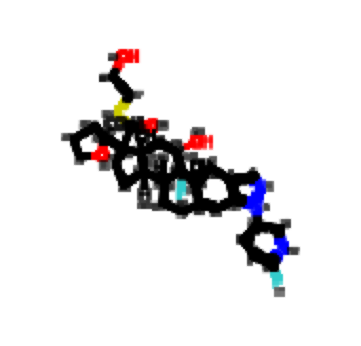 C[C@]12Cc3cnn(-c4ccc(F)nc4)c3C=C1CC[C@H]1[C@@H]3CC[C@](C(=O)SCCO)([C@@]4(C(=O)O)CCCO4)[C@@]3(C)C[C@H](O)[C@@]12F